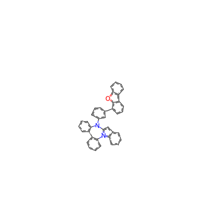 c1cc(-c2cccc3c2oc2ccccc23)cc(N2c3ccccc3-c3ccccc3-n3c2cc2ccccc23)c1